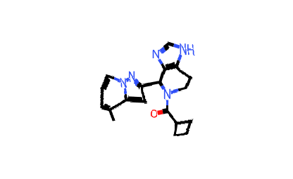 Cc1cccn2nc(C3c4nc[nH]c4CCN3C(=O)C3CCC3)cc12